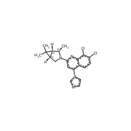 C[C@@H]1[C@@H]2[C@H](CN1c1cc(-n3ccnc3)c3ccc(Cl)c(Cl)c3n1)C2(C)C